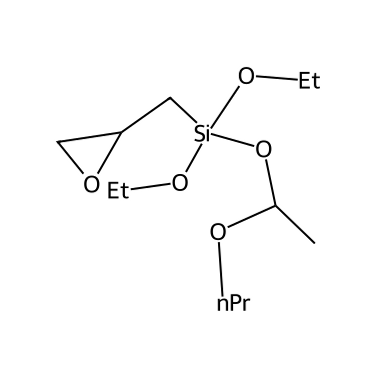 CCCOC(C)O[Si](CC1CO1)(OCC)OCC